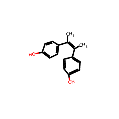 CC(=C(C)c1ccc(O)cc1)c1ccc(O)cc1